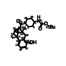 CC(C)(C)OC(=O)N[C@H]1CC[C@@H](C(=O)N2CC[C@@]3(C)c4cccc(O)c4C[C@@H]2C3(C)C)CC1